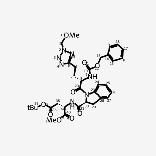 COCn1nnc(CC[C@H](NC(=O)OCc2ccccc2)C(=O)N2c3ccccc3C[C@H]2C(=O)N[C@@H](CC(=O)OC(C)(C)C)C(=O)OC)n1